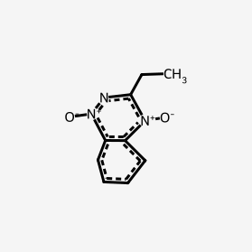 CCc1n[n+]([O-])c2ccccc2[n+]1[O-]